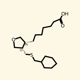 O=C(O)CCCCCC[C@H]1COC[C@H]1CSCC1CCCCC1